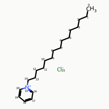 CCCCCCCCCCCCCCC[n+]1ccccc1.[Cl-]